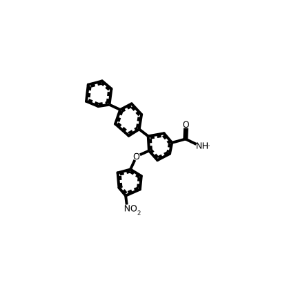 [NH]C(=O)c1ccc(Oc2ccc([N+](=O)[O-])cc2)c(-c2ccc(-c3ccccc3)cc2)c1